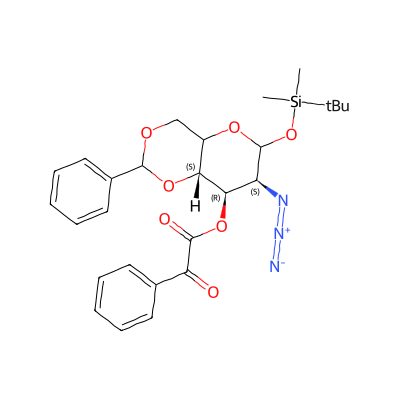 CC(C)(C)[Si](C)(C)OC1OC2COC(c3ccccc3)O[C@H]2[C@H](OC(=O)C(=O)c2ccccc2)[C@@H]1N=[N+]=[N-]